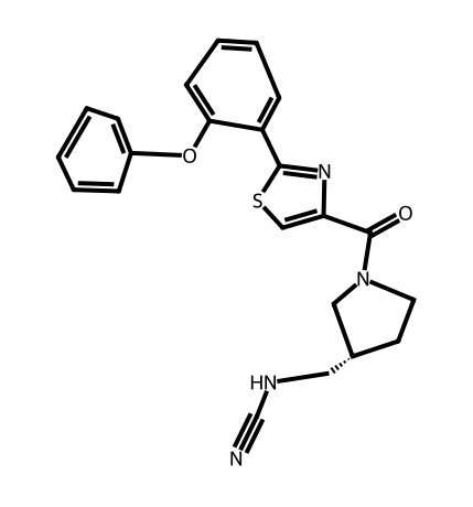 N#CNC[C@H]1CCN(C(=O)c2csc(-c3ccccc3Oc3ccccc3)n2)C1